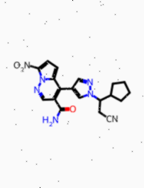 N#CCC(C1CCCC1)n1cc(-c2c(C(N)=O)cnn3c([N+](=O)[O-])ccc23)cn1